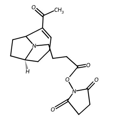 CC(=O)C1=CCC[C@H]2CCC1N2CCCC(=O)ON1C(=O)CCC1=O